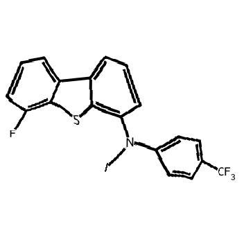 Fc1cccc2c1sc1c(N(I)c3ccc(C(F)(F)F)cc3)cccc12